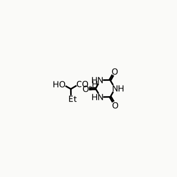 CCC(O)C(=O)O.O=c1[nH]c(=O)[nH]c(=O)[nH]1